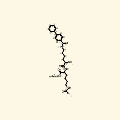 CCCCCCNC(=O)C(CCCCNC(=O)C(F)(F)F)NC(=O)C(N)CCCCNC(=O)c1ccc(-c2ccccc2)cc1